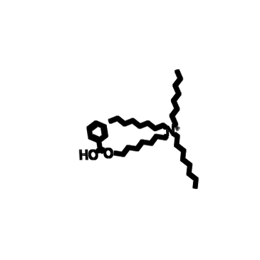 CCCCCCCC[N+](CCCCCCCC)(CCCCCCCC)CCCCCCCC.O=C(O)c1ccccc1